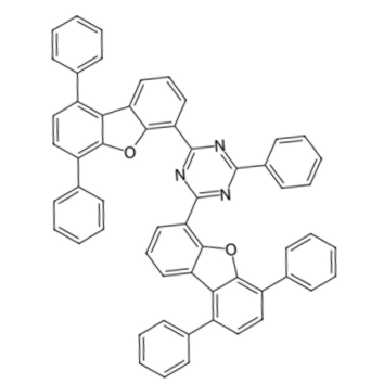 c1ccc(-c2nc(-c3cccc4c3oc3c(-c5ccccc5)ccc(-c5ccccc5)c34)nc(-c3cccc4c3oc3c(-c5ccccc5)ccc(-c5ccccc5)c34)n2)cc1